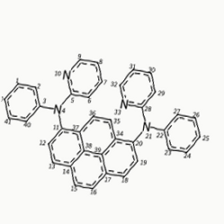 c1ccc(N(c2ccccn2)c2ccc3ccc4ccc(N(c5ccccc5)c5ccccn5)c5ccc2c3c45)cc1